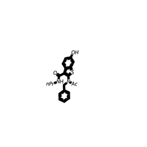 CCCNC(=O)c1c(N(Cc2ccccc2)C(C)=O)sc2cc(O)ccc12